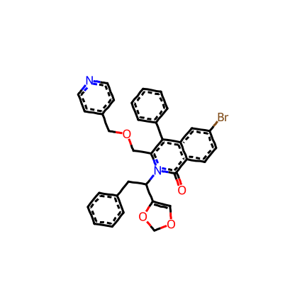 O=c1c2ccc(Br)cc2c(-c2ccccc2)c(COCc2ccncc2)n1C(Cc1ccccc1)C1=COCO1